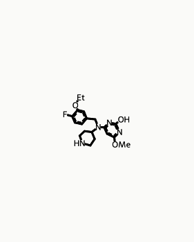 CCOc1cc(CN(c2cc(OC)nc(O)n2)C2CCNCC2)ccc1F